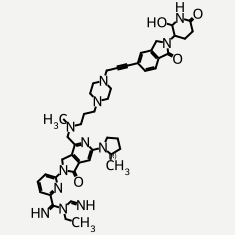 CCN(C=N)C(=N)c1cccc(N2Cc3c(cc(N4CCC[C@H]4C)nc3CN(C)CCCN3CCN(CC#Cc4ccc5c(c4)CN(C4CCC(=O)NC4O)C5=O)CC3)C2=O)n1